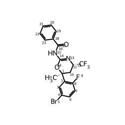 C[C@@]1(c2cc(Br)ccc2F)C[C@@H](C(F)(F)F)N=C(NC(=O)c2ccccc2)O1